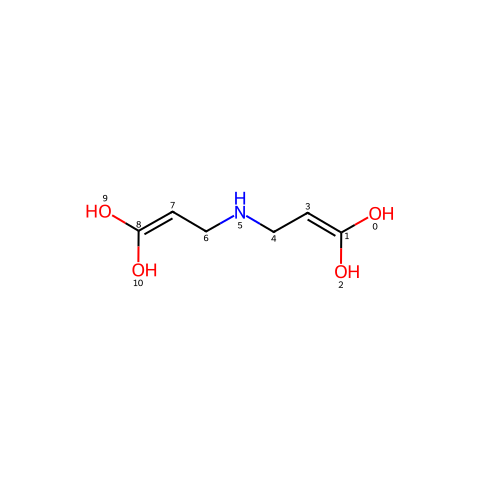 OC(O)=CCNCC=C(O)O